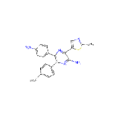 Cc1ncc(-c2nc(-c3ccc(N)cc3)c(-c3ccc(C(=O)O)cc3)nc2N)s1